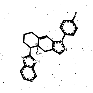 C[C@]12Cc3cnn(-c4ccc(F)cc4)c3C=C1CCC[C@@H]2c1nc2ccccc2[nH]1